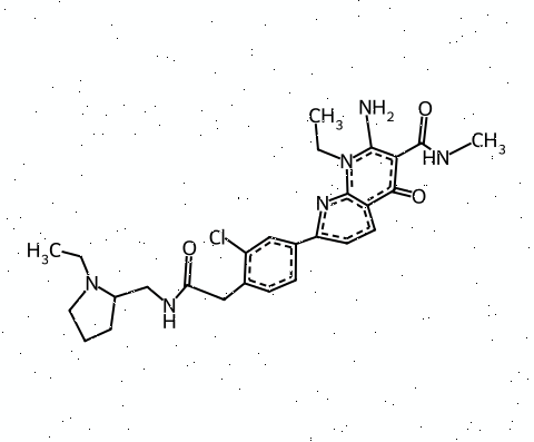 CCN1CCCC1CNC(=O)Cc1ccc(-c2ccc3c(=O)c(C(=O)NC)c(N)n(CC)c3n2)cc1Cl